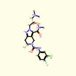 C[C@@H]1Cc2nn3c(c2CN1C(=O)Nc1ccc(F)c(Cl)c1)C(=O)N(C)O[C@@H](CN(C)C)C3